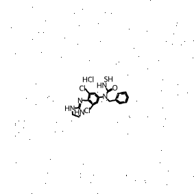 Cl.O=C(NS)N(Cc1ccccc1)c1cc(Cl)c(N=C2NCCN2)c(Cl)c1